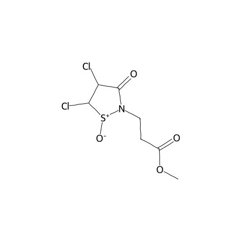 COC(=O)CCN1C(=O)C(Cl)C(Cl)[S+]1[O-]